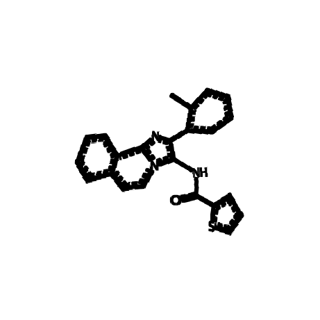 Cc1ccccc1-c1nc2c3ccccc3ccn2c1NC(=O)c1cccs1